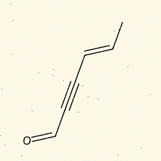 CC=CC#CC=O